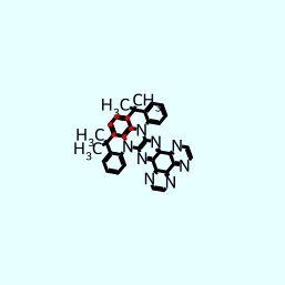 CC1(C)c2ccccc2N(c2nc3c4nccnc4c4nccnc4c3nc2N2c3ccccc3C(C)(C)c3ccccc32)c2ccccc21